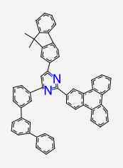 CC1(C)c2ccccc2-c2ccc(-c3cc(-c4cccc(-c5cccc(-c6ccccc6)c5)c4)nc(-c4ccc5c6ccccc6c6ccccc6c5c4)n3)cc21